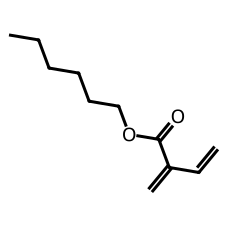 C=CC(=C)C(=O)OCCCCCC